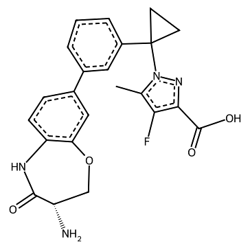 Cc1c(F)c(C(=O)O)nn1C1(c2cccc(-c3ccc4c(c3)OC[C@H](N)C(=O)N4)c2)CC1